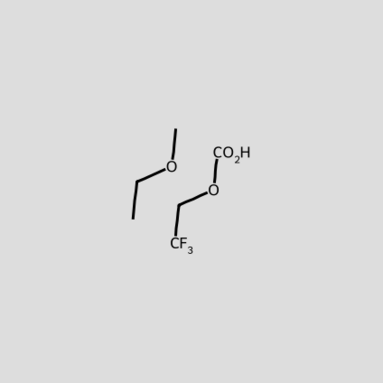 CCOC.O=C(O)OCC(F)(F)F